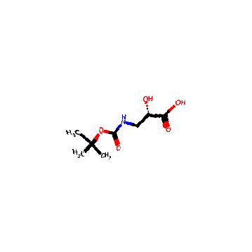 CC(C)(C)OC(=O)NC[C@H](O)C(=O)O